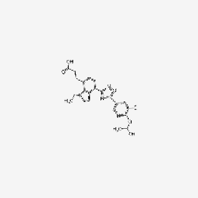 CCn1ccc2c(-c3noc(-c4cnc(OC(C)C)c(Cl)c4)n3)ccc(CCC(=O)O)c21